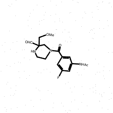 COCC1(C=O)CN(C(=O)c2cc(F)cc(NC(C)=O)c2)CCN1